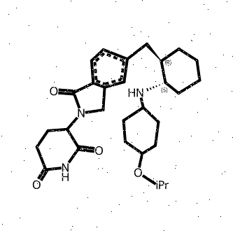 CC(C)OC1CCC(N[C@H]2CCCC[C@@H]2Cc2ccc3c(c2)CN(C2CCC(=O)NC2=O)C3=O)CC1